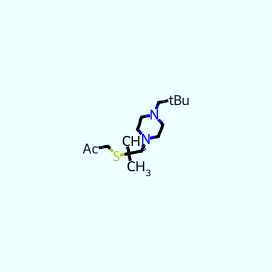 CC(=O)CSC(C)(C)CN1CCN(CC(C)(C)C)CC1